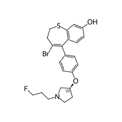 Oc1ccc2c(c1)SCCC(Br)=C2c1ccc(O[C@H]2CCN(CCCF)C2)cc1